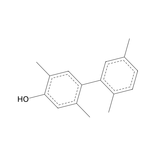 Cc1ccc(C)c(-c2cc(C)c(O)cc2C)c1